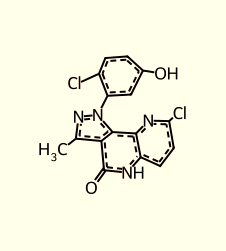 Cc1nn(-c2cc(O)ccc2Cl)c2c1c(=O)[nH]c1ccc(Cl)nc12